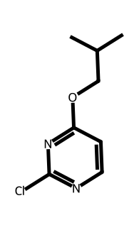 CC(C)COc1ccnc(Cl)n1